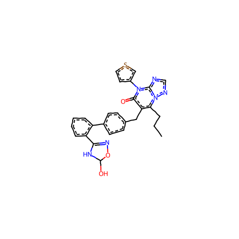 CCCc1c(Cc2ccc(-c3ccccc3C3=NOC(O)N3)cc2)c(=O)n(-c2ccsc2)c2ncnn12